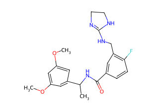 COc1cc(OC)cc(C(C)NC(=O)c2ccc(F)c(CNC3=NCCN3)c2)c1